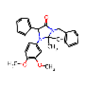 COc1ccc(N2C(c3ccccc3)C(=O)N(Cc3ccccc3)C2(C)C)cc1OC